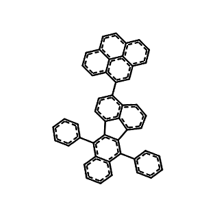 c1ccc(-c2c3c(c(-c4ccccc4)c4ccccc24)-c2ccc(-c4cc5cccc6ccc7cccc4c7c65)c4cccc-3c24)cc1